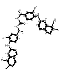 Cc1ccc2ccc(Nc3ccc([C@H](C)OC(=O)O[C@@H](C)c4ccc(Nc5ccc6ccc(C)c(Cl)c6n5)c(F)c4)cc3F)nc2c1Cl